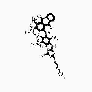 CCOCCOc1nc(Cl)nc(Nc2c(C)c(Nc3cc(S(=O)(=O)O)c(N)c4c3C(=O)c3ccccc3C4=O)c(C)c(S(=O)(=O)O)c2C)n1